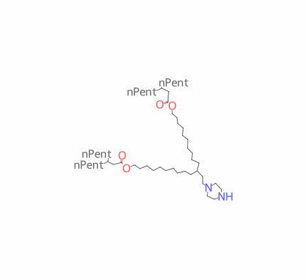 CCCCCC(CCCCC)CC(=O)OCCCCCCCCCCC(CCCCCCCCCCOC(=O)CC(CCCCC)CCCCC)CCN1CCNCC1